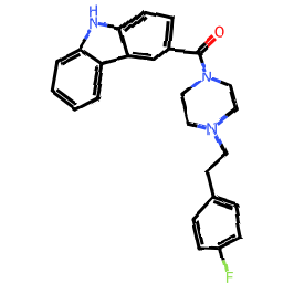 O=C(c1ccc2[nH]c3ccccc3c2c1)N1CCN(CCc2ccc(F)cc2)CC1